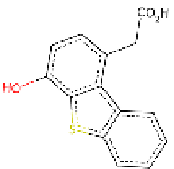 O=C(O)Cc1ccc(O)c2sc3ccccc3c12